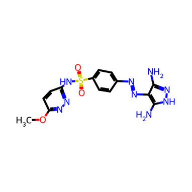 COc1ccc(NS(=O)(=O)c2ccc(N=Nc3c(N)n[nH]c3N)cc2)nn1